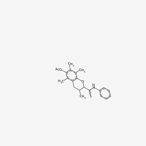 CC(=O)Oc1c(C)c(C)c2c(c1C)CC(C)C(C(=S)Nc1ccccc1)O2